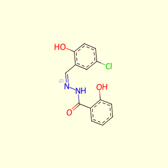 O=C(N/N=C\c1cc(Cl)ccc1O)c1ccccc1O